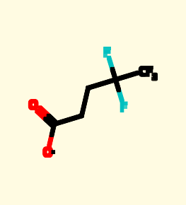 [O]C(=O)CCC(F)(F)C(F)(F)F